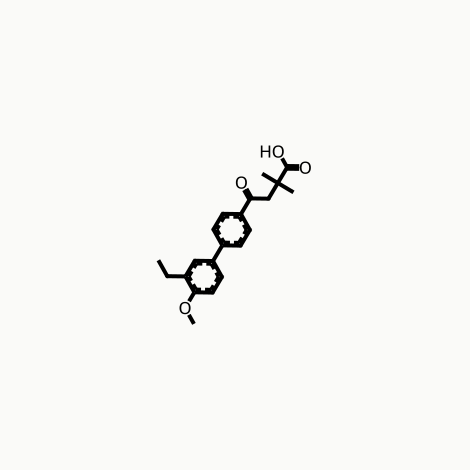 CCc1cc(-c2ccc(C(=O)CC(C)(C)C(=O)O)cc2)ccc1OC